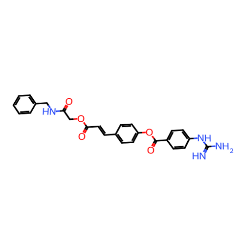 N=C(N)Nc1ccc(C(=O)Oc2ccc(/C=C/C(=O)OCC(=O)NCc3ccccc3)cc2)cc1